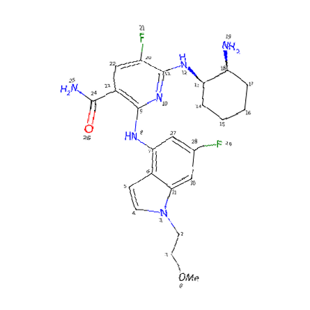 COCCn1ccc2c(Nc3nc(N[C@@H]4CCCC[C@@H]4N)c(F)cc3C(N)=O)cc(F)cc21